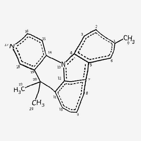 Cc1ccc2c(c1)c1cccc3c1n2-c1ccncc1C3(C)C